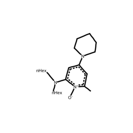 CCCCCCN(CCCCCC)c1cc(N2CCCCC2)cc(C)[n+]1[O-]